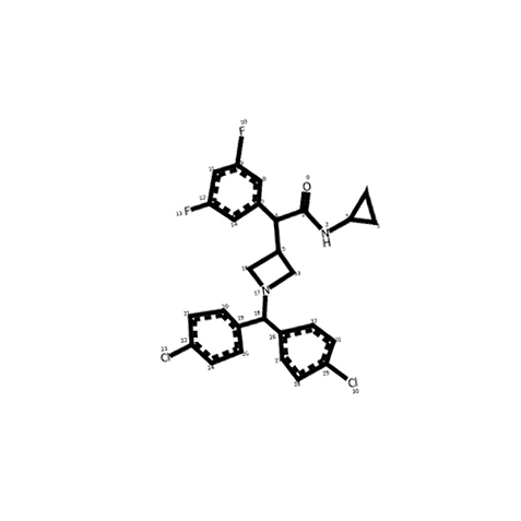 O=C(NC1CC1)C(c1cc(F)cc(F)c1)C1CN(C(c2ccc(Cl)cc2)c2ccc(Cl)cc2)C1